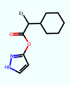 CCC(C(=O)Oc1cc[nH]n1)C1CCCCC1